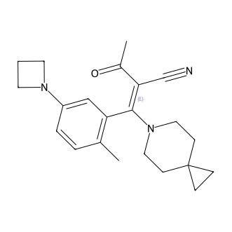 CC(=O)/C(C#N)=C(\c1cc(N2CCC2)ccc1C)N1CCC2(CC1)CC2